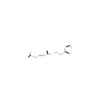 C=C(O)CCCC(=O)NCCc1cscn1